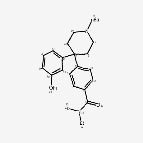 CCCCN1CCC(c2ccc(C(=O)N(CC)CC)cc2)(c2cccc(O)c2)CC1